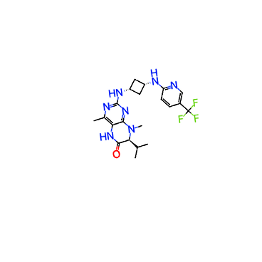 Cc1nc(N[C@H]2C[C@@H](Nc3ccc(C(F)(F)F)cn3)C2)nc2c1NC(=O)[C@H](C(C)C)N2C